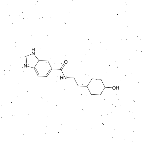 O=C(NCCC1CCC(O)CC1)c1ccc2nc[nH]c2c1